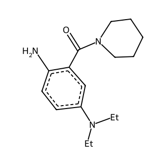 CCN(CC)c1ccc(N)c(C(=O)N2CCCCC2)c1